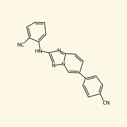 N#Cc1ccc(-c2ccc3nc(Nc4ccccc4C#N)nn3c2)cc1